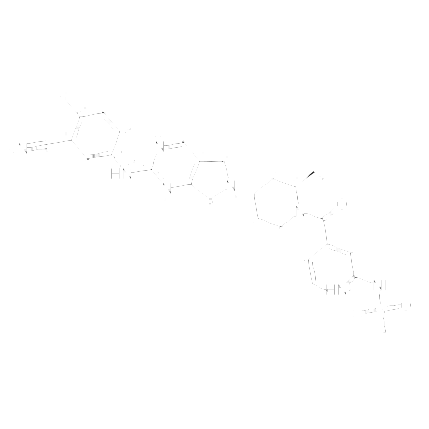 C/C=C\C(=C/C(=N)NS(C)(=O)=O)C(=O)N1CC[C@H](N2Cc3cnc(Nc4ccc(C)c(C#N)c4)nc3C2)C[C@H]1C